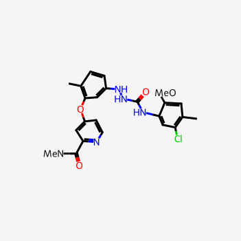 CNC(=O)c1cc(Oc2cc(NNC(=O)Nc3cc(Cl)c(C)cc3OC)ccc2C)ccn1